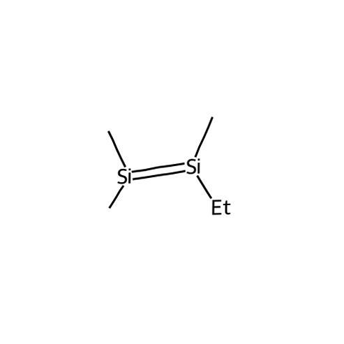 CC[Si](C)=[Si](C)C